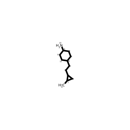 CC1CC1CCC1CCC(N)CC1